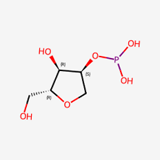 OC[C@H]1OC[C@H](OP(O)O)[C@@H]1O